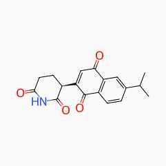 CC(C)c1ccc2c(c1)C(=O)C=C([C@@H]1CCC(=O)NC1=O)C2=O